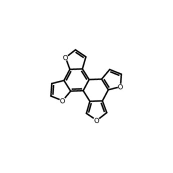 c1cc2c(o1)c1cocc1c1c3occc3c3occc3c21